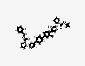 CC(C)(C)OC(=O)N1CCC[C@H]1c1ncc(-c2ccc(-c3ccc(C4=CN=C([C@@H]5CCCN5C(=O)OCc5ccccc5)C4)cc3)cc2F)[nH]1